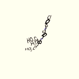 Cc1c(CCCC(=O)O)c2cccc(/C=C/c3ccc(OC/C=C/COc4ccc(Cl)cc4)cc3)c2n1CC(=O)O